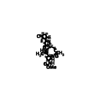 COC(=O)Nc1ccc2c(c1)NC(=O)[C@H](C)CCC[C@H](n1cnc(-c3c(F)ccc(Cl)c3F)cc1=O)c1nc-2c(C)[nH]1